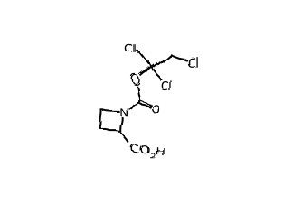 O=C(O)C1CCN1C(=O)OC(Cl)(Cl)CCl